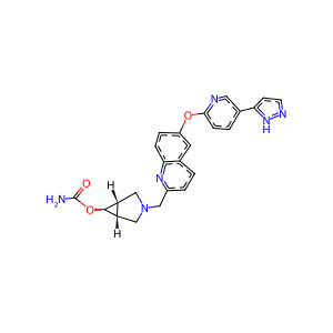 NC(=O)O[C@H]1[C@@H]2CN(Cc3ccc4cc(Oc5ccc(-c6ccn[nH]6)cn5)ccc4n3)C[C@@H]21